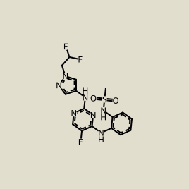 CS(=O)(=O)Nc1ccccc1Nc1nc(Nc2cnn(CC(F)F)c2)ncc1F